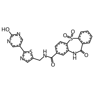 O=C(NCc1cnc(-c2cnc(O)nc2)s1)c1ccc2c(c1)NC(=O)c1ccccc1S2(=O)=O